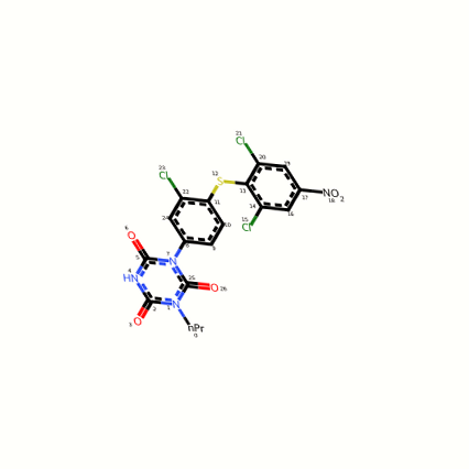 CCCn1c(=O)[nH]c(=O)n(-c2ccc(Sc3c(Cl)cc([N+](=O)[O-])cc3Cl)c(Cl)c2)c1=O